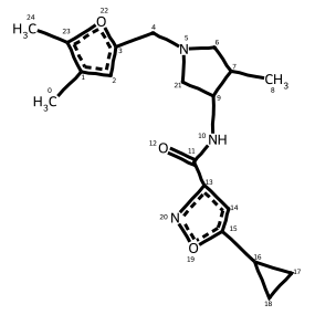 Cc1cc(CN2CC(C)C(NC(=O)c3cc(C4CC4)on3)C2)oc1C